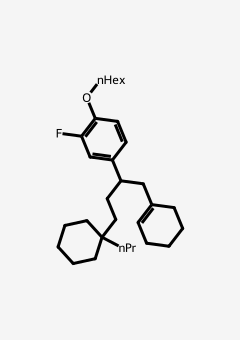 CCCCCCOc1ccc(C(CCC2(CCC)CCCCC2)CC2=CCCCC2)cc1F